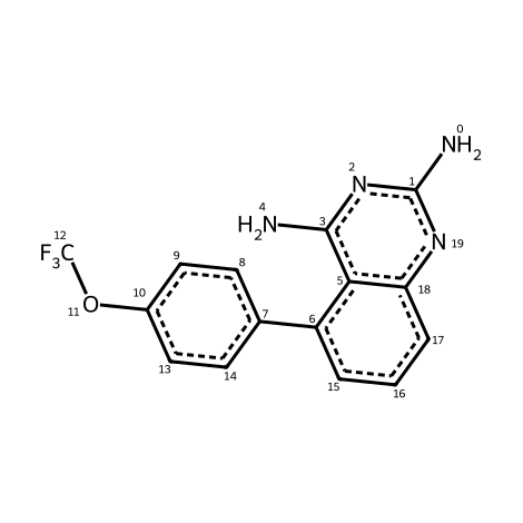 Nc1nc(N)c2c(-c3ccc(OC(F)(F)F)cc3)cccc2n1